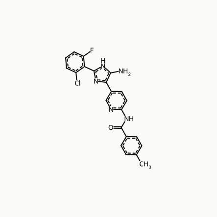 Cc1ccc(C(=O)Nc2ccc(-c3nc(-c4c(F)cccc4Cl)[nH]c3N)cn2)cc1